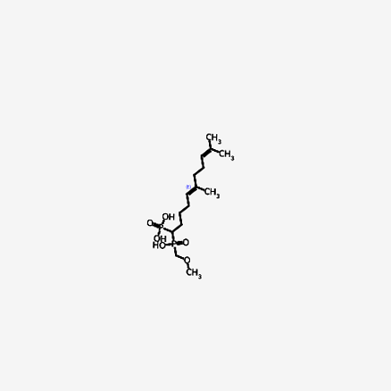 COCP(=O)(O)C(CCC/C=C(\C)CCC=C(C)C)P(=O)(O)O